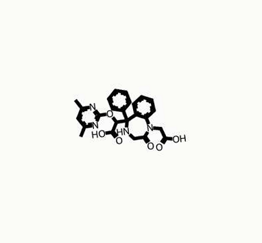 Cc1cc(C)nc(OC(C(=O)O)C2(c3ccccc3)NCC(=O)N(CC(=O)O)c3ccccc32)n1